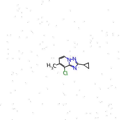 Cc1ccn2nc(C3CC3)nc2c1Cl